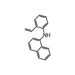 C=Cc1ccccc1Nc1cccc2ccccc12